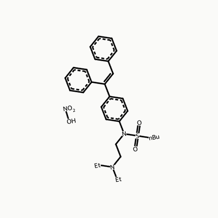 CCCCS(=O)(=O)N(CCN(CC)CC)c1ccc(C(=Cc2ccccc2)c2ccccc2)cc1.O=[N+]([O-])O